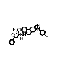 C[C@]12Cc3cnn(-c4ccc(F)cc4)c3C=C1CC[C@@H]1C2=CC[C@@H](C(F)(F)F)[C@@H]1NC(=O)CC(=O)c1ccccc1